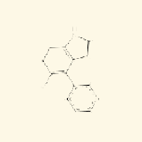 BrC1=C(c2cccnc2)C2=C(CC1)NCC2